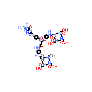 CCN1CCN(CC(=O)O)CCN(CC(=O)O)CCN(CC(=O)Nc2ccc(NC(=O)CCC(NC(=O)c3ccc(NCc4cnc5nc(N)[nH]c(=O)c5n4)cc3)C(=O)Nc3ccc(NC(=O)CN4CCN(CC(=O)O)CCN(CC(=O)O)CCN(CC(=O)O)CC4)cc3)cc2)CC1